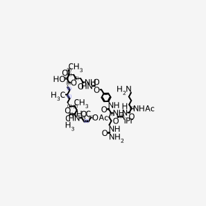 CC(=O)N[C@@H](CCCCN)C(=O)N[C@H](C(=O)N[C@@H](CCCNC(N)=O)C(=O)Nc1ccc(COC(=O)NNC(=O)C[C@@H]2C[C@]3(O[C@@H]3C)[C@H](O)[C@@H](/C=C/C(C)=C/C[C@@H]3O[C@H](C)[C@H](NC(=O)/C=C\[C@H](C)OC(C)=O)C[C@@H]3C)O2)cc1)C(C)C